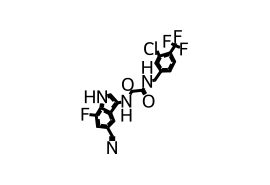 N#Cc1cc(F)c2[nH]cc(NC(=O)C(=O)NCc3ccc(C(F)(F)F)c(Cl)c3)c2c1